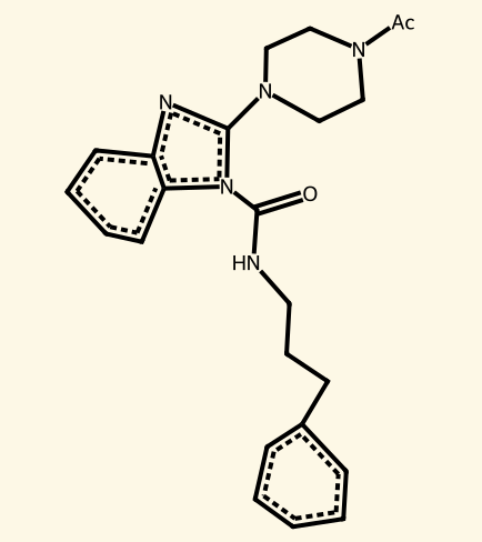 CC(=O)N1CCN(c2nc3ccccc3n2C(=O)NCCCc2ccccc2)CC1